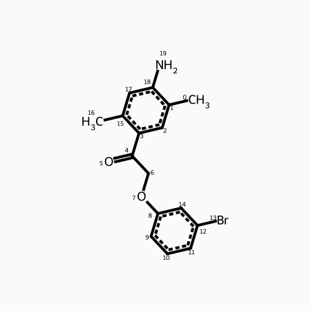 Cc1cc(C(=O)COc2cccc(Br)c2)c(C)cc1N